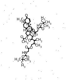 C=C(C(=O)[C@H](OC(=O)CNC(=O)OC(C)(C)C)C1[C@@H](OC(C)=O)C[C@@]2(C)[C@@H]3CC[C@H]4[C@H](C)C(=O)C=C[C@@]45C[C@@]35CC[C@]12C)[C@@H](C)COC(=O)CNC(=O)OC(C)(C)C